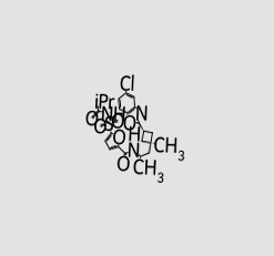 CC(C)C(=O)NS(=O)(=O)c1ccc(C(=O)N[C@@H](C)C[C@]2(C)C[C@H](c3nc4cc(Cl)ccc4o3)C2)o1